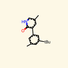 Cc1cc(-c2cc(C)c[nH]c2=O)cc(C(C)(C)C)c1